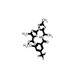 COC(=O)c1sc(-n2nc(C)nc2C(C)NC(=O)c2cc(Cl)cc(C(F)(F)F)c2)nc1C